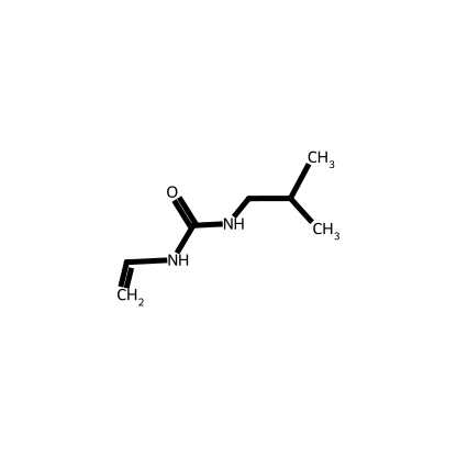 C=CNC(=O)NCC(C)C